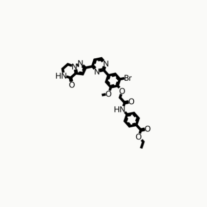 CCOC(=O)c1ccc(NC(=O)COc2c(Br)cc(-c3nccc(-c4cc5n(n4)CCNC5=O)n3)cc2OC)cc1